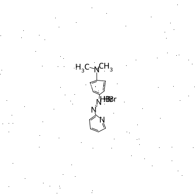 Br.Br.CN(C)c1ccc(/N=N/c2ccccn2)cc1